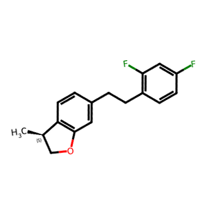 C[C@@H]1COc2cc(CCc3ccc(F)cc3F)ccc21